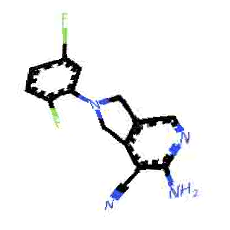 N#Cc1c(N)ncc2c1CN(c1cc(F)ccc1F)C2